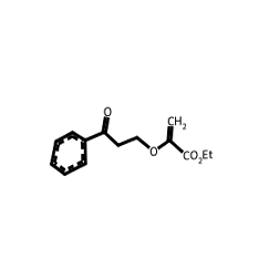 C=C(OCCC(=O)c1ccccc1)C(=O)OCC